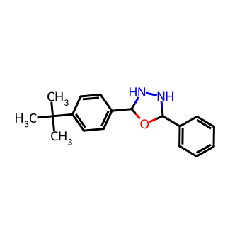 CC(C)(C)c1ccc(C2NNC(c3ccccc3)O2)cc1